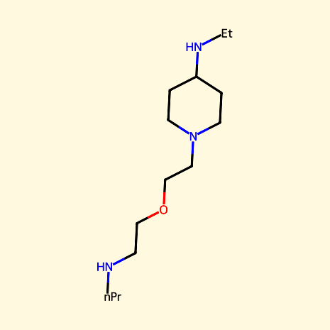 CCCNCCOCCN1CCC(NCC)CC1